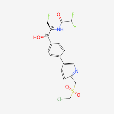 O=C(N[C@H](CF)[C@H](O)c1ccc(-c2ccc(CS(=O)(=O)CCl)nc2)cc1)C(F)F